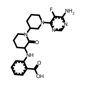 Nc1ncnc(N2CCCC(N3CCCC(Nc4ccccc4C(=O)O)C3=O)C2)c1F